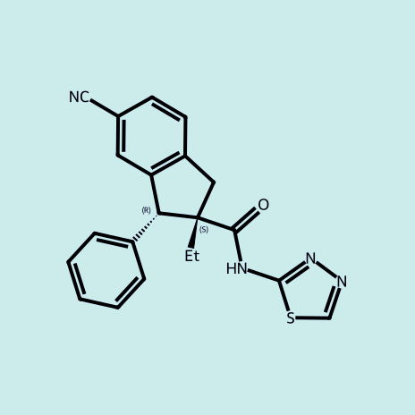 CC[C@]1(C(=O)Nc2nncs2)Cc2ccc(C#N)cc2[C@H]1c1ccccc1